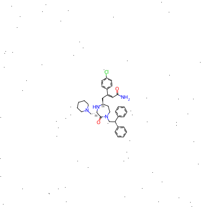 NC(=O)C=C(C[C@H]1CCN(CC(c2ccccc2)c2ccccc2)C(=O)[C@H](CN2CCCCC2)N1)c1ccc(Cl)cc1